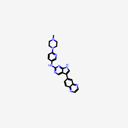 CN1CCN(c2ccc(Nc3ncc4c(-c5ccc6nccnc6c5)c[nH]c4n3)cn2)CC1